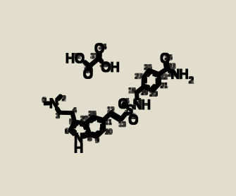 CN(C)CCc1c[nH]c2ccc(/C=C/S(=O)(=O)NCc3ccc(C(N)=O)cc3)cc12.O=C(O)C(=O)O